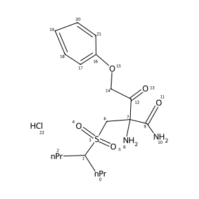 CCCC(CCC)S(=O)(=O)CC(N)(C(N)=O)C(=O)COc1ccccc1.Cl